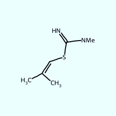 CNC(=N)SC=C(C)C